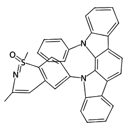 CC1=Cc2cc(-n3c4ccccc4c4ccc5c6ccccc6n(-c6ccccc6)c5c43)ccc2S(C)(=O)=N1